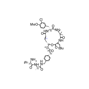 COc1ccc(C[C@H]2NC(=O)/C=C/C[C@@H]([C@H](C)[C@H]3O[C@@H]3c3ccc(CNC(=O)[C@H](C)NC(=O)[C@@H](N)C(C)C)cc3)OC(=O)[C@H](CC(C)(C)C)NC(=O)C(C)(C)C(C)NC2=O)cc1Cl